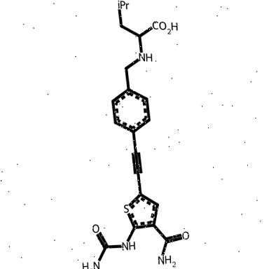 CC(C)CC(NCc1ccc(C#Cc2cc(C(N)=O)c(NC(N)=O)s2)cc1)C(=O)O